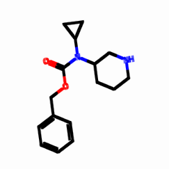 O=C(OCc1ccccc1)N(C1CC1)C1CCCNC1